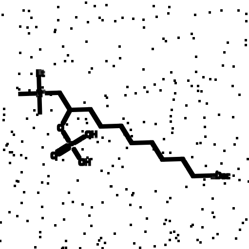 CCCCCCCCCCCCCCCCCCC(C[N+](C)(C)CC)OP(=O)(O)O